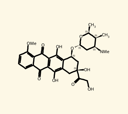 CN[C@H]1C[C@H](O[C@H]2C[C@](O)(C(=O)CO)Cc3c(O)c4c(c(O)c32)C(=O)c2c(OC)cccc2C4=O)O[C@@H](C)[C@H]1C